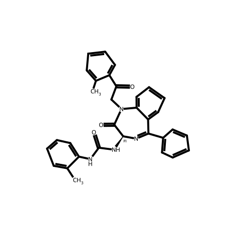 Cc1ccccc1NC(=O)N[C@@H]1N=C(c2ccccc2)c2ccccc2N(CC(=O)c2ccccc2C)C1=O